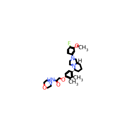 COc1cc(N2CCN3[C@@H](CCC[C@@H]3c3ccc(OCC(=O)NN4CCOCC4)c(C)c3C)C2)ccc1F